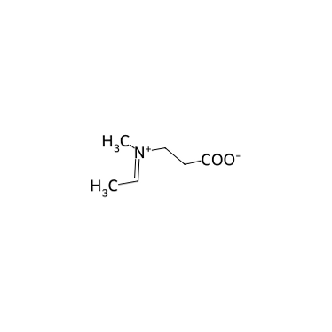 CC=[N+](C)CCC(=O)[O-]